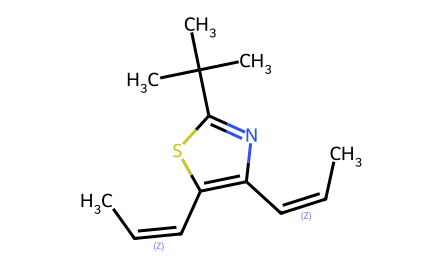 C/C=C\c1nc(C(C)(C)C)sc1/C=C\C